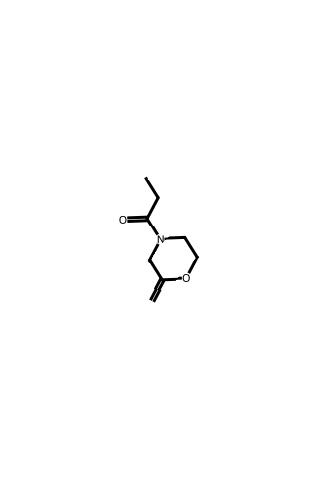 C=C1CN(C(=O)CC)CCO1